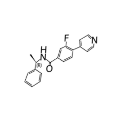 C[C@@H](NC(=O)c1ccc(-c2ccncc2)c(F)c1)c1ccccc1